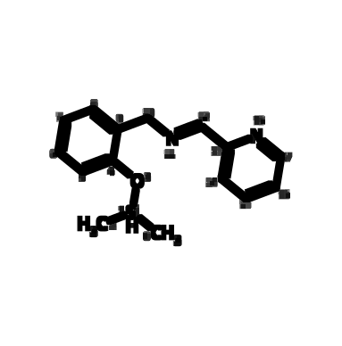 C[SiH](C)Oc1ccccc1CN=Cc1ccccn1